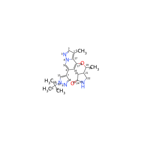 Cc1cnn2cc(-c3cnn(C(C)(C)C)c3)cc(OC(C)C3CNC(=O)C3)c12